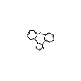 c1ccc2c(c1)Sc1ccccc1-c1scnc1-2